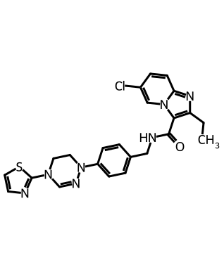 CCc1nc2ccc(Cl)cn2c1C(=O)NCc1ccc(N2CCN(c3nccs3)C=N2)cc1